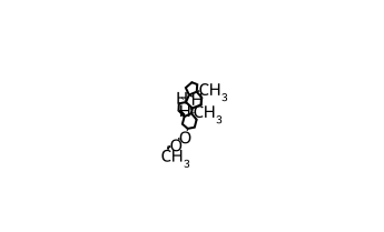 CCOCO[C@H]1CC[C@@]2(C)C(=CC[C@H]3[C@@H]4CCC[C@]4(C)CC[C@@H]32)C1